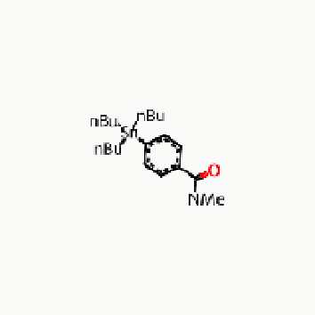 CCC[CH2][Sn]([CH2]CCC)([CH2]CCC)[c]1ccc(C(=O)NC)cc1